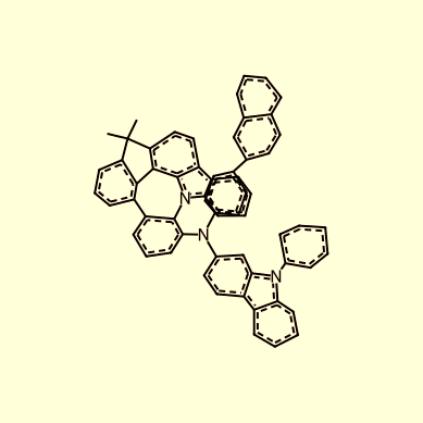 CC1(C)c2cccc3c2-c2c1ccc1c4ccccc4n(c21)-c1c-3cccc1N(c1ccc(-c2ccc3ccccc3c2)cc1)c1ccc2c3ccccc3n(-c3ccccc3)c2c1